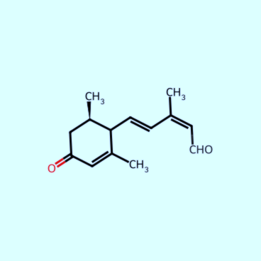 CC1=CC(=O)C[C@@H](C)C1/C=C/C(C)=C\C=O